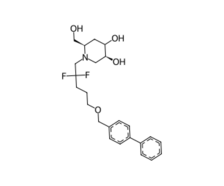 OC[C@H]1CC(O)[C@@H](O)CN1CC(F)(F)CCCOCc1ccc(-c2ccccc2)cc1